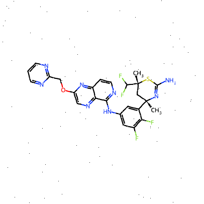 C[C@]1(C(F)F)C[C@@](C)(c2cc(Nc3nccc4nc(OCc5ncccn5)cnc34)cc(F)c2F)N=C(N)S1